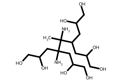 CC(N)(C(CC(O)CO)CC(O)CO)C(N)(CC(O)CO)CC(O)CO